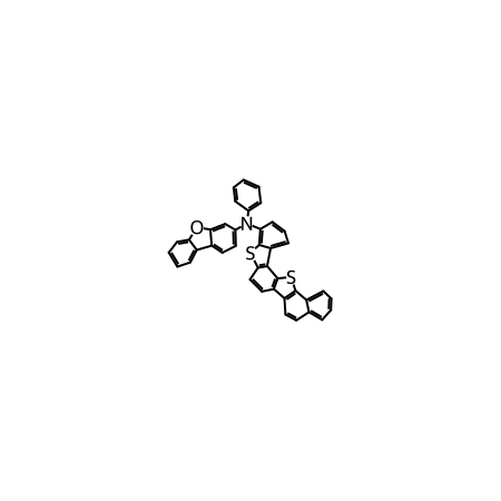 c1ccc(N(c2ccc3c(c2)oc2ccccc23)c2cccc3c2sc2ccc4c5ccc6ccccc6c5sc4c23)cc1